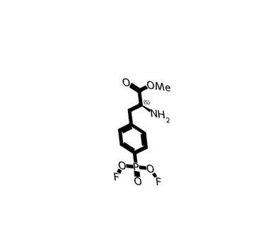 COC(=O)[C@@H](N)Cc1ccc(P(=O)(OF)OF)cc1